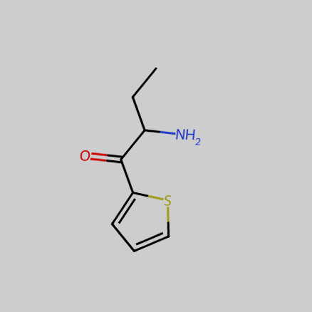 CCC(N)C(=O)c1cccs1